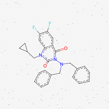 O=c1c2cc(F)c(F)cc2n(CC2CC2)c(=O)n1N(Cc1ccccc1)Cc1ccccc1